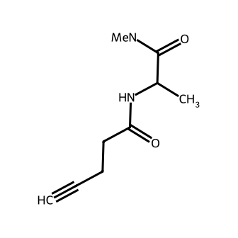 C#CCCC(=O)NC(C)C(=O)NC